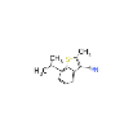 Cc1sc2c(C(C)C)cccc2c1C#N